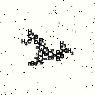 C=C(C)C(=O)OC(CC)c1ccc(N(c2ccc(CCCC)cc2)c2ccc(C(CC)OC(=O)C(=C)C)cc2)cc1